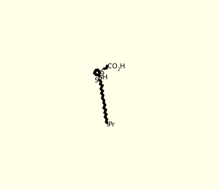 CC(C)CCCCCCCCCCCCCCCCCCC(=S)Nc1ccccc1SCCCC(=O)O